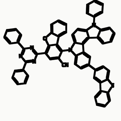 N#Cc1cc(-c2nc(-c3ccccc3)nc(-c3ccccc3)n2)c2oc3ccccc3c2c1-n1c2ccc(-c3ccc4sc5ccccc5c4c3)cc2c2c3c4ccccc4n(-c4ccccc4)c3ccc21